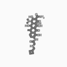 CC1c2ccc(NC(=O)CNCC3CCC3)c(O)c2C(=O)C2=C(O)[C@]3(O)C(=O)C(C(N)=O)=C(O)[C@@H](N(C)C)C3C(O)C21